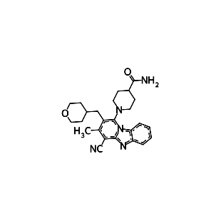 Cc1c(CC2CCOCC2)c(N2CCC(C(N)=O)CC2)n2c(nc3ccccc32)c1C#N